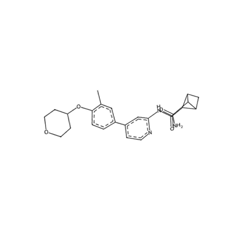 Cc1cc(-c2ccnc(NC(=O)C3C4CC3C4C(N)=O)c2)ccc1OC1CCOCC1